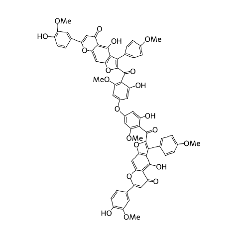 COc1ccc(-c2c(C(=O)c3c(O)cc(Oc4cc(O)c(C(=O)c5oc6cc7oc(-c8ccc(O)c(OC)c8)cc(=O)c7c(O)c6c5-c5ccc(OC)cc5)c(OC)c4)cc3OC)oc3cc4oc(-c5ccc(O)c(OC)c5)cc(=O)c4c(O)c23)cc1